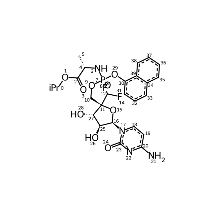 CC(C)OC(=O)[C@H](C)NP(=O)(OC[C@@]1(C(F)F)O[C@@H](n2ccc(N)nc2=O)[C@@H](O)[C@@H]1O)Oc1cccc2ccccc12